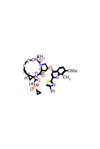 COc1ccc2c(O[C@@H]3C[C@H]4C(=O)N[C@]5(C(=O)NS(=O)(=O)C6CC6)C[C@H]5/C=C\CCCCN(C)C(=O)N4C3)cc(-c3nc(C(C)C)cs3)nc2c1C